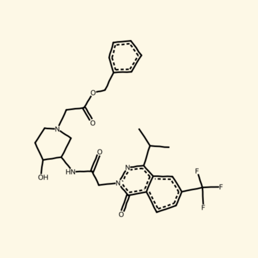 CC(C)c1nn(CC(=O)NC2CN(CC(=O)OCc3ccccc3)CCC2O)c(=O)c2ccc(C(F)(F)F)cc12